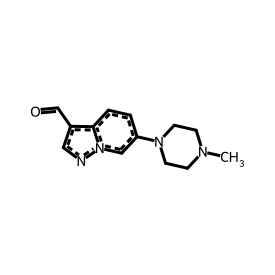 CN1CCN(c2ccc3c(C=O)cnn3c2)CC1